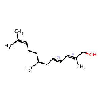 CC(C)=CCCC(C)C/C=C/C=C(\C)CO